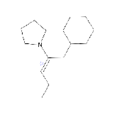 CC/C=C(\CC1CCCCC1)N1CCCC1